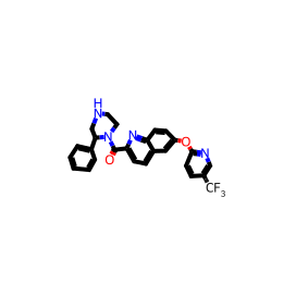 O=C(c1ccc2cc(Oc3ccc(C(F)(F)F)cn3)ccc2n1)N1CCNCC1c1ccccc1